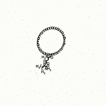 CC(C)[C@H](NC(=O)CC[C@H](N)C(=O)N1CCOCCOCCOCCOCCOCCOCCOCCOCCOCCOCCOCCOCCOCC1)C(N)=O